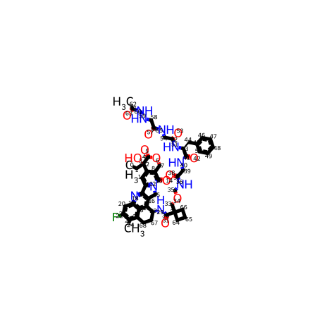 CC[C@@]1(O)C(=O)OCc2c1cc1n(c2=O)Cc2c-1nc1cc(F)c(C)c3c1c2[C@@H](NC(=O)C1(COCNC(=O)CNC(=O)[C@H](Cc2ccccc2)NC(=O)CNC(=O)CNNC(C)=O)CCC1)CC3